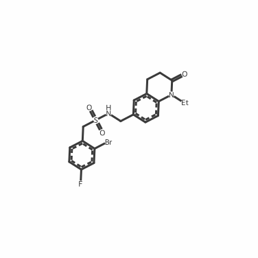 CCN1C(=O)CCc2cc(CNS(=O)(=O)Cc3ccc(F)cc3Br)ccc21